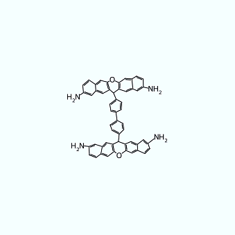 Nc1ccc2cc3c(cc2c1)C(c1ccc(-c2ccc(C4c5cc6cc(N)ccc6cc5Oc5cc6ccc(N)cc6cc54)cc2)cc1)c1cc2cc(N)ccc2cc1O3